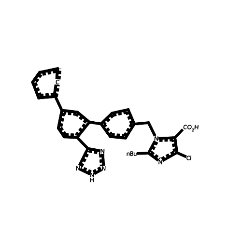 CCCCc1nc(Cl)c(C(=O)O)n1Cc1ccc(-c2cc(-c3ccccc3)ccc2-c2nn[nH]n2)cc1